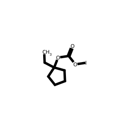 CCC1(OC(=O)OI)CCCC1